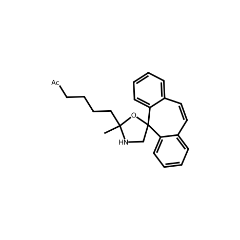 CC(=O)CCCCC1(C)NCC2(O1)c1ccccc1C=Cc1ccccc12